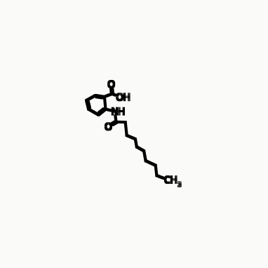 CCCCCCCCCC(=O)Nc1ccccc1C(=O)O